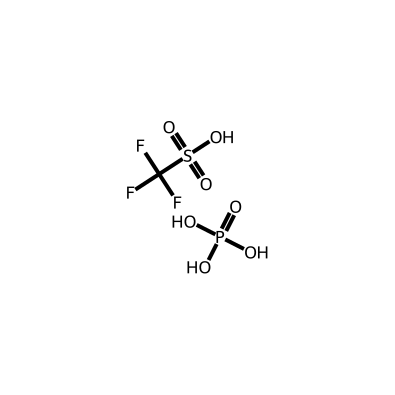 O=P(O)(O)O.O=S(=O)(O)C(F)(F)F